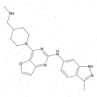 CNCC1CCN(c2nc(Nc3ccc4c(C)n[nH]c4c3)nc3ccoc23)CC1